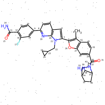 Cc1c(-c2cc3ccc(-c4ccc(C(N)=O)c(F)c4)nc3n2CC2CC2)oc2cc(C(=O)N3CC4CCC3[C@@H]4N)ccc12